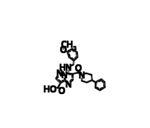 COc1cccc(CNc2c(C(=O)N3CCC(c4ccccc4)CC3)cnc3c(C(=O)O)cnn23)c1